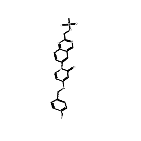 CS(=O)(=O)OCc1ncc2cc(-n3ccc(OCc4ccc(F)cc4)cc3=O)ccc2n1